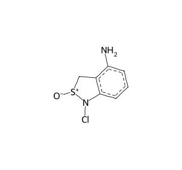 Nc1cccc2c1C[S+]([O-])N2Cl